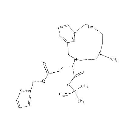 CN1CCNCc2cccc(n2)CN(C(CCC(=O)OCc2ccccc2)C(=O)OC(C)(C)C)CC1